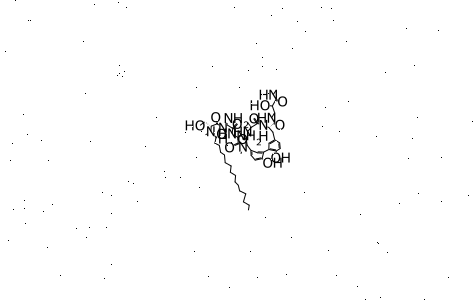 CCCCCCCCCCCCCCCC(=O)N(C)[C@H](CO)C(=O)N[C@H](N)C(=O)N[C@@H](N)C(=O)N(C)[C@@H]1C(=O)N[C@@H](C)C(=O)N[C@H](C(=O)NCC(O)C(=O)NC)Cc2ccc(O)c(c2)-c2cc1ccc2O